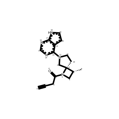 C#CCC(=O)N1C[C@@H](C)[C@@]12CCN(c1ncnc3[nH]ccc13)C2